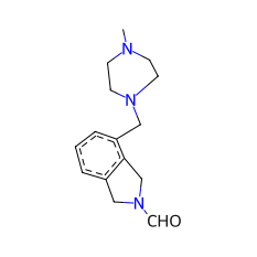 CN1CCN(Cc2cccc3c2CN(C=O)C3)CC1